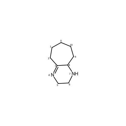 C1CCC2=NCCNC2CC1